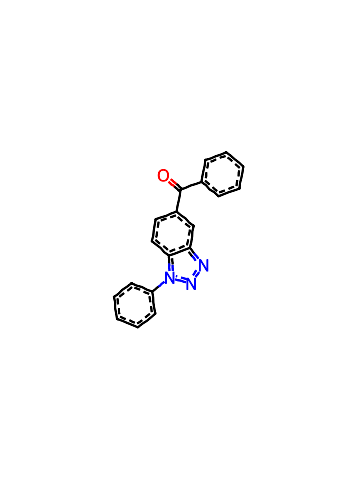 O=C(c1ccccc1)c1ccc2c(c1)nnn2-c1ccccc1